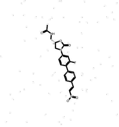 CC(=O)NC[C@H]1CN(c2ccc(-c3ccc(C=C[N+](=O)[O-])cc3)c(F)c2)C(=O)O1